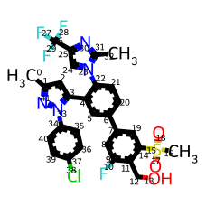 Cc1cc(-c2cc(-c3cc(F)c(CO)c(S(C)(=O)=O)c3)ccc2-n2cc(C(F)(F)F)nc2C)n(-c2ccc(Cl)cc2)n1